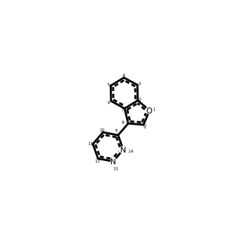 [c]1oc2ccccc2c1-c1cccnn1